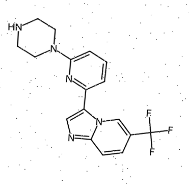 FC(F)(F)c1ccc2ncc(-c3cccc(N4CCNCC4)n3)n2c1